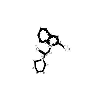 Cc1cc2ccccc2n1CC(=O)N1CCCCC1